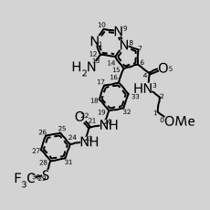 COCCNC(=O)c1cn2ncnc(N)c2c1-c1ccc(NC(=O)Nc2cccc(SC(F)(F)F)c2)cc1